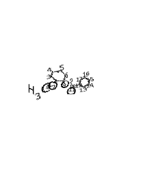 COC1C[CH]CCC1OCC(=O)c1ccccc1